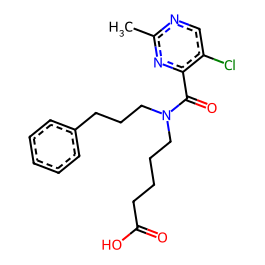 Cc1ncc(Cl)c(C(=O)N(CCCCC(=O)O)CCCc2ccccc2)n1